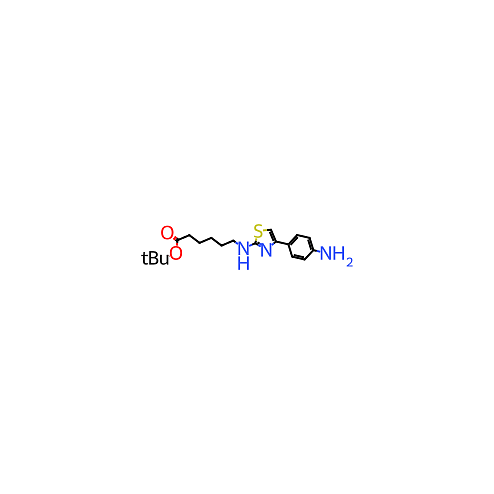 CC(C)(C)OC(=O)CCCCCNc1nc(-c2ccc(N)cc2)cs1